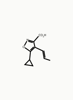 C/C=C/c1c(C(=O)O)noc1C1CC1